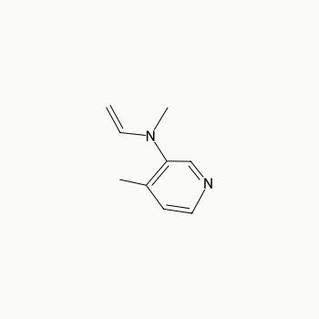 C=CN(C)c1cnccc1C